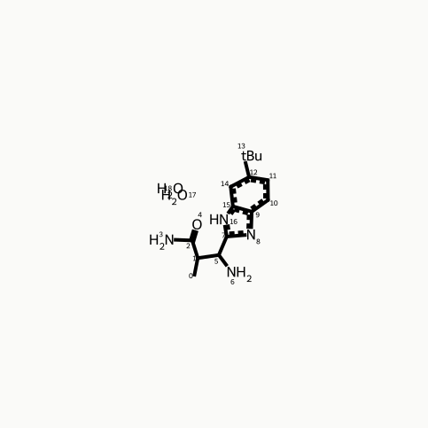 CC(C(N)=O)C(N)c1nc2ccc(C(C)(C)C)cc2[nH]1.O.O